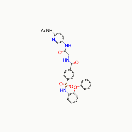 CC(=O)Nc1ccc(NC(=O)CNC(=O)c2ccc(S(=O)(=O)Nc3ccccc3Oc3ccccc3)cc2)cn1